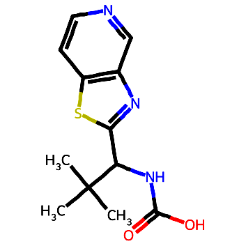 CC(C)(C)C(NC(=O)O)c1nc2cnccc2s1